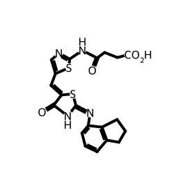 O=C(O)CCC(=O)Nc1ncc(C=C2SC(=Nc3cccc4c3CCC4)NC2=O)s1